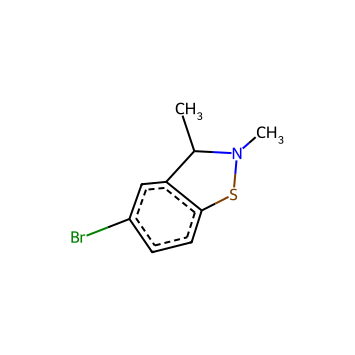 CC1c2cc(Br)ccc2SN1C